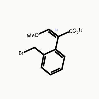 CO/C=C(/C(=O)O)c1ccccc1CBr